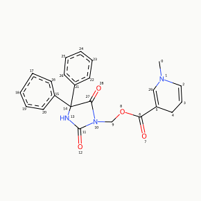 CN1C=CCC(C(=O)OCN2C(=O)NC(c3ccccc3)(c3ccccc3)C2=O)=C1